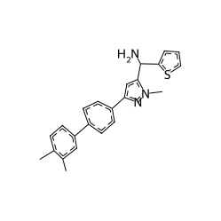 Cc1ccc(-c2ccc(-c3cc(C(N)c4cccs4)n(C)n3)cc2)cc1C